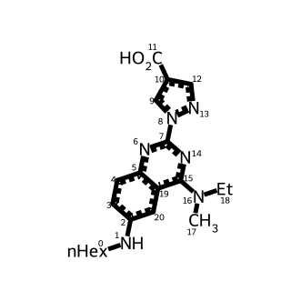 CCCCCCNc1ccc2nc(-n3cc(C(=O)O)cn3)nc(N(C)CC)c2c1